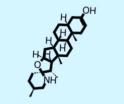 C[C@H]1CC[C@]2(NC1)O[C@H]1C[C@H]3[C@@H]4CC[C@H]5CC(O)=CC[C@]5(C)[C@H]4CC[C@]3(C)[C@H]1[C@@H]2C